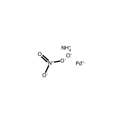 O=[N+]([O-])[O-].[Cl-].[NH4+].[Pd+]